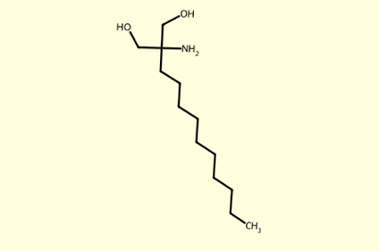 CCCCCCCCCCC(N)(CO)CO